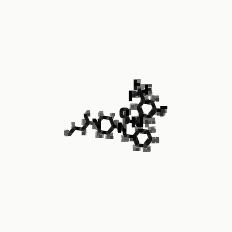 CCCC(C)N1CCC(N(Cc2ccccc2)C(=O)Nc2cc(F)cc(C(F)(F)F)c2)CC1